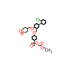 CCOC(=O)COC1(c2ccc(OCc3cc(-c4ccccc4Cl)ccc3OCC3CCS(=O)(=O)CC3)cc2)COC1